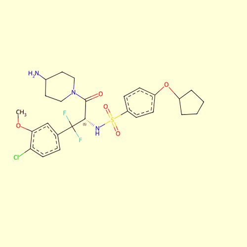 COc1cc(C(F)(F)[C@@H](NS(=O)(=O)c2ccc(OC3CCCC3)cc2)C(=O)N2CCC(N)CC2)ccc1Cl